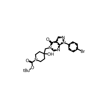 CC(C)(C)OC(=O)N1CCC(O)(Cn2cnc3c(cnn3-c3ccc(Br)cc3)c2=O)CC1